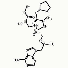 CC(C)OC(=O)[C@@H](C)CN[P@@](=O)(CO[C@H](C)Cn1cnc2c(N)ncnc21)N[C@H](C)C(=O)OC1CCCC1